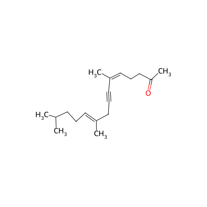 CC(=O)CCC=C(C)C#CCC(C)=CCCC(C)C